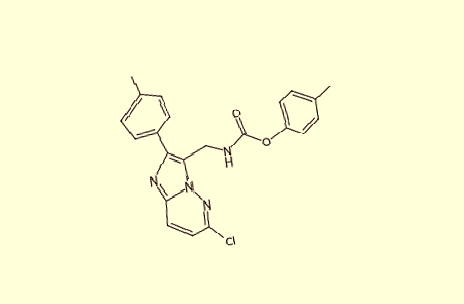 Cc1ccc(OC(=O)NCc2c(-c3ccc(C)cc3)nc3ccc(Cl)nn23)cc1